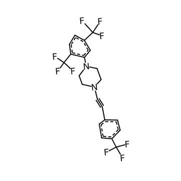 FC(F)(F)c1ccc(C#CN2CCN(c3cc(C(F)(F)F)ccc3C(F)(F)F)CC2)cc1